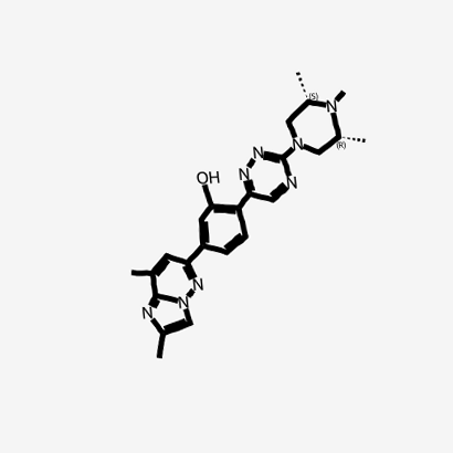 Cc1cn2nc(-c3ccc(-c4cnc(N5C[C@@H](C)N(C)[C@@H](C)C5)nn4)c(O)c3)cc(C)c2n1